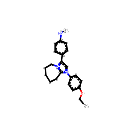 CCOc1ccc(-n2cc(-c3ccc(NC)cc3)[n+]3c2CCCCC3)cc1